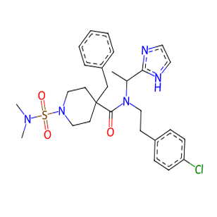 CC(c1ncc[nH]1)N(CCc1ccc(Cl)cc1)C(=O)C1(Cc2ccccc2)CCN(S(=O)(=O)N(C)C)CC1